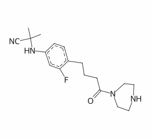 CC(C)(C#N)Nc1ccc(CCCC(=O)N2CCNCC2)c(F)c1